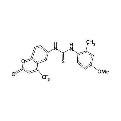 COc1ccc(NC(=S)Nc2ccc3oc(=O)cc(C(F)(F)F)c3c2)c(C)c1